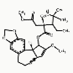 CCC(C(C)(C)O)[C@@](O)(CC(=O)OC)C(=O)OC1C(OC)=C[C@]23CCCN2CCc2cc4c(cc2[C@H]13)OCO4